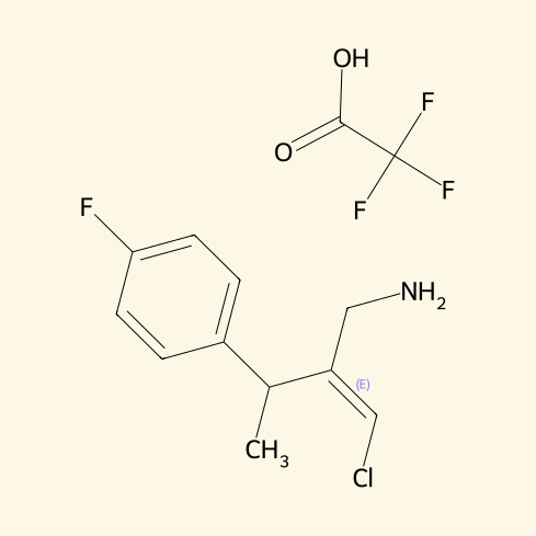 CC(/C(=C\Cl)CN)c1ccc(F)cc1.O=C(O)C(F)(F)F